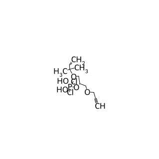 C#CCOCC(COC(C)(C)C=C)OP(O)(O)(Cl)Cl